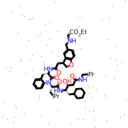 CCOC(=O)CNCc1ccc2c(c1)C(CC(=O)N[C@@H](Cc1ccccc1)C(=O)N[C@@H](CC(C)C)C(=O)N[C@@H](CC1CCCCC1)[C@@H](O)CC(=O)NCC(C)C)CO2